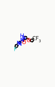 O=C(Nc1cnn(Cc2ccc(F)cc2)c1)c1cc(COc2cccc(C(F)(F)F)c2)ccn1